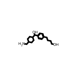 NCC1CCC(C(O)c2ccc(CCCCO)cc2)CC1